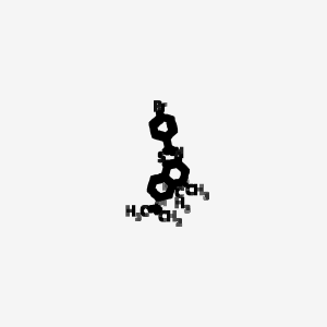 C=C(C)[C@@H]1CC=C2c3sc(-c4ccc(Br)cc4)nc3C[C@@H](C)[C@]2(C)C1